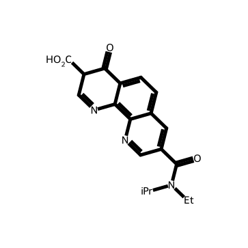 CCN(C(=O)c1cnc2c3c(ccc2c1)C(=O)C(C(=O)O)C=N3)C(C)C